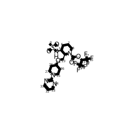 CS(=O)(=O)N[C@H]1CCCN(C(=O)OC(C(F)(F)F)C(F)(F)F)[C@H]1COC1CCN(c2ncccn2)CC1